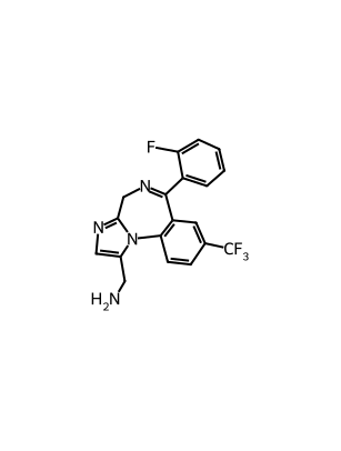 NCc1cnc2n1-c1ccc(C(F)(F)F)cc1C(c1ccccc1F)=NC2